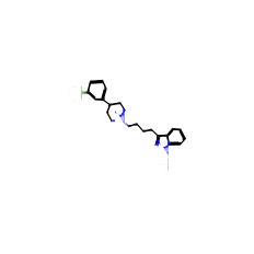 Clc1cccc(C2CCN(CCCCc3c[nH]c4ccccc34)CC2)c1